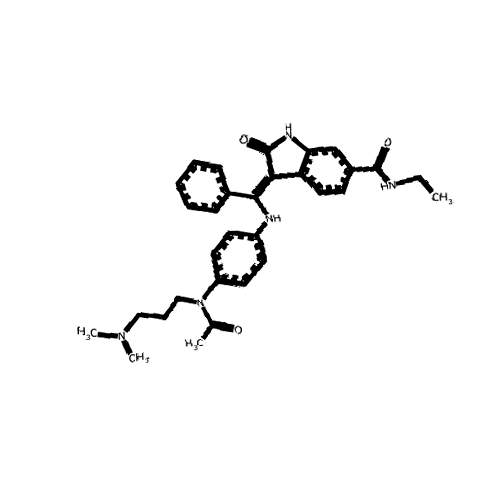 CCNC(=O)c1ccc2c(c1)NC(=O)C2=C(Nc1ccc(N(CCCN(C)C)C(C)=O)cc1)c1ccccc1